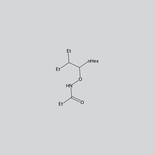 CCCCCCC(ONC(=O)CC)C(CC)CC